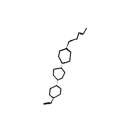 C=C[C@H]1CC[C@H](C2CCC([C@H]3CC[C@H](CC/C=C/C)CC3)CC2)CC1